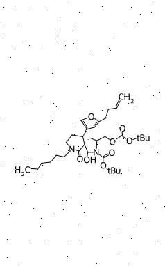 C=CCCCCN1CC[C@@H](c2coc(CCC=C)c2)[C@]2(CC(COC(=O)OC(C)(C)C)N(C(=O)OC(C)(C)C)C2O)C1=O